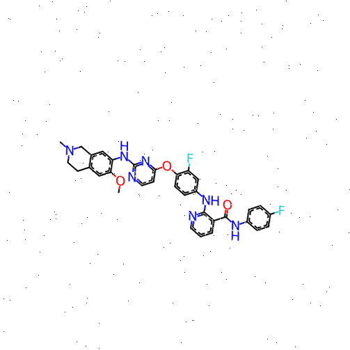 COc1cc2c(cc1Nc1nccc(Oc3ccc(Nc4ncccc4C(=O)Nc4ccc(F)cc4)cc3F)n1)CN(C)CC2